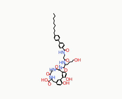 CCCCCCCCCc1ccc(-c2ccc(C(=O)NCCC(=O)N[C@@H](CCCCO)C(=O)N(C)[C@@H]3C(=O)N[C@@H](C)C(=O)N[C@H](C(=O)O)Cc4ccc(O)c(c4)-c4cc3ccc4O)cc2)cc1